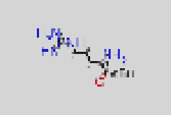 CC(C)(C)C(=O)[C@@H](N)CCCNC(=N)N